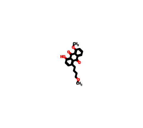 COCCCCc1ccc(O)c2c1C(=O)c1cccc(OC)c1C2=O